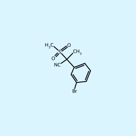 CC(C#N)(c1cccc(Br)c1)S(C)(=O)=O